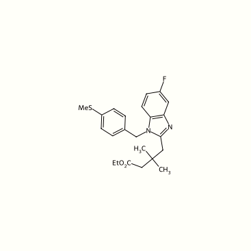 CCOC(=O)CC(C)(C)Cc1nc2cc(F)ccc2n1Cc1ccc(SC)cc1